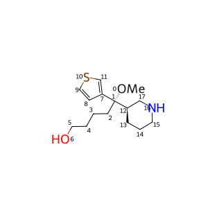 CO[C@](CCCCO)(c1ccsc1)[C@@H]1CCCNC1